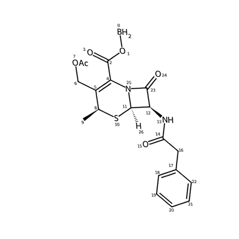 BOC(=O)C1=C(COC(C)=O)[C@H](C)S[C@@H]2[C@H](NC(=O)Cc3ccccc3)C(=O)N12